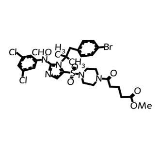 COC(=O)CCCC(=O)N1CCN(S(=O)(=O)c2cnc(N(C=O)c3cc(Cl)cc(Cl)c3)n2C(C)(C)Cc2ccc(Br)cc2)CC1